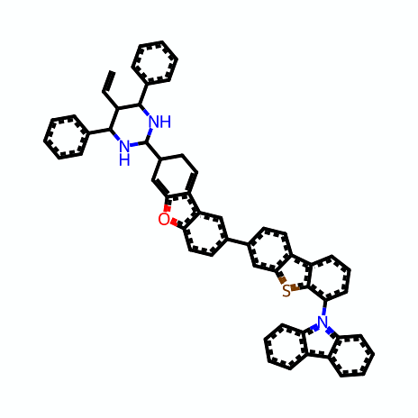 C=CC1C(c2ccccc2)NC(C2C=c3oc4ccc(-c5ccc6c(c5)sc5c(-n7c8ccccc8c8ccccc87)cccc56)cc4c3=CC2)NC1c1ccccc1